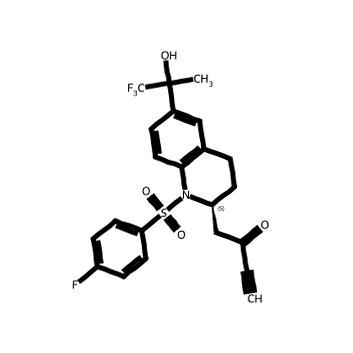 C#CC(=O)C[C@@H]1CCc2cc(C(C)(O)C(F)(F)F)ccc2N1S(=O)(=O)c1ccc(F)cc1